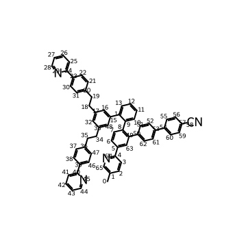 Cc1ccc(-c2ccc(-c3ccccc3-c3cc(CCc4ccc(-c5ccccn5)cc4)cc(CCc4ccc(-c5ccccn5)cc4)c3)c(-c3ccc(-c4ccc(C#N)cc4)cc3)c2)nc1